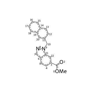 COC(=O)c1ccc2cnn(Cc3ccc4ccccc4c3)c2c1